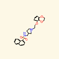 O=S(=O)(NCC1CCN(CCOc2cccc3c2OCCO3)C1)c1cccc2ccccc12